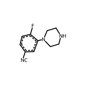 [C-]#[N+]c1ccc(F)c(N2CCNCC2)c1